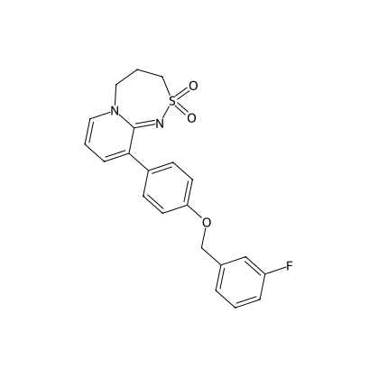 O=S1(=O)CCCN2C=CC=C(c3ccc(OCc4cccc(F)c4)cc3)C2=N1